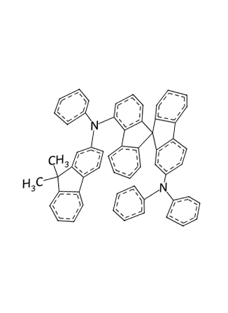 CC1(C)c2ccccc2-c2ccc(N(c3ccccc3)c3cccc4c3-c3ccccc3C43c4ccccc4-c4ccc(N(c5ccccc5)c5ccccc5)cc43)cc21